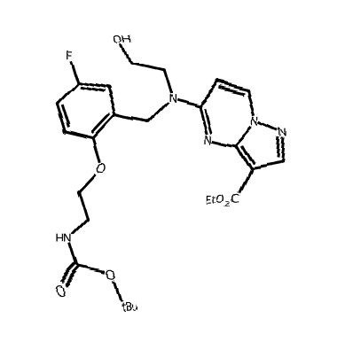 CCOC(=O)c1cnn2ccc(N(CCO)Cc3cc(F)ccc3OCCNC(=O)OC(C)(C)C)nc12